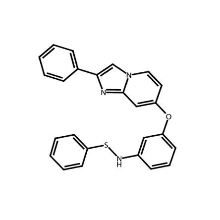 c1ccc(SNc2cccc(Oc3ccn4cc(-c5ccccc5)nc4c3)c2)cc1